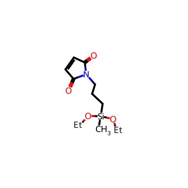 CCO[Si](C)(CCCN1C(=O)C=CC1=O)OCC